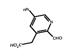 CCCc1cnc(C=O)c(CC(=O)O)c1